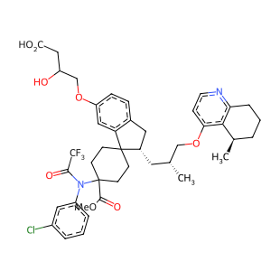 COC(=O)C1(N(C(=O)C(F)(F)F)c2cccc(Cl)c2)CCC2(CC1)c1cc(OCC(O)CC(=O)O)ccc1C[C@@H]2C[C@@H](C)COc1ccnc2c1[C@H](C)CCC2